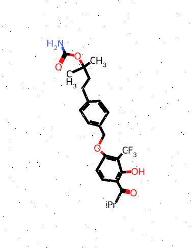 CC(C)C(=O)c1ccc(OCc2ccc(CCC(C)(C)OC(N)=O)cc2)c(C(F)(F)F)c1O